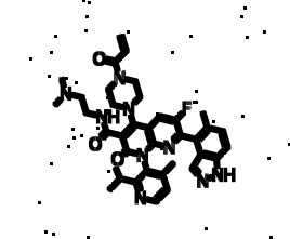 C=CC(=O)N1CCN(c2c(C(=O)NCCN(C)C)c(=O)n(-c3c(C)ccnc3C(C)C)c3nc(-c4c(C)ccc5[nH]ncc45)c(F)cc23)CC1